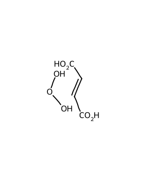 O=C(O)C=CC(=O)O.OOO